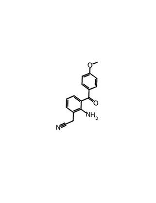 COc1ccc(C(=O)c2cccc(CC#N)c2N)cc1